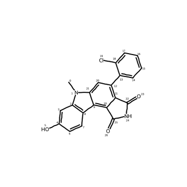 Cn1c2cc(O)ccc2c2c3c(c(-c4ccccc4Cl)cc21)C(=O)NC3=O